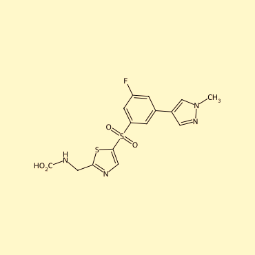 Cn1cc(-c2cc(F)cc(S(=O)(=O)c3cnc(CNC(=O)O)s3)c2)cn1